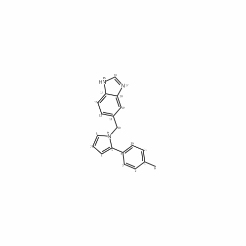 Cc1ccc(-c2c[c]cn2Cc2ccc3[nH]cnc3c2)cc1